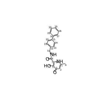 Cc1cc(=O)c(O)c(C(=O)NCc2ccc(-c3ccccc3)cc2)[nH]1